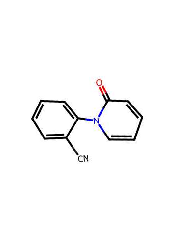 N#Cc1ccccc1-n1ccccc1=O